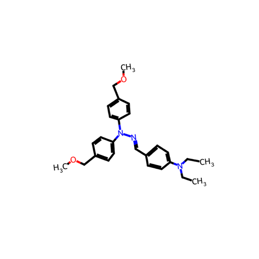 CCN(CC)c1ccc(C=NN(c2ccc(COC)cc2)c2ccc(COC)cc2)cc1